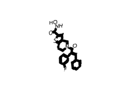 O=C(NO)c1cc2c(s1)CCN(C(=O)C(=Cc1ccccc1)c1cccc(F)c1)C2